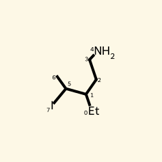 CCC(CCN)C(C)I